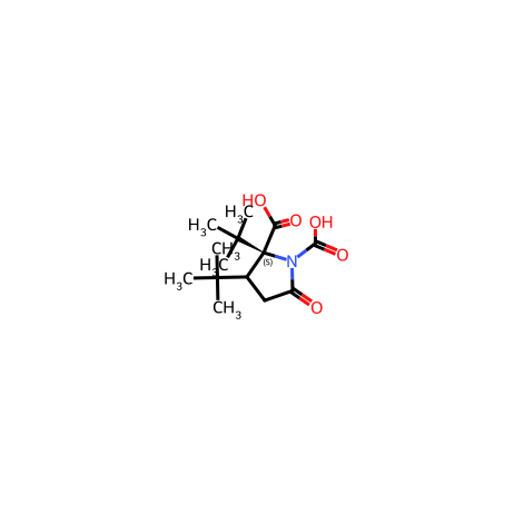 CC(C)(C)C1CC(=O)N(C(=O)O)[C@]1(C(=O)O)C(C)(C)C